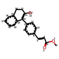 COC(=O)/C=C/c1ccc(C2=C(Br)CCc3ccccc32)cc1